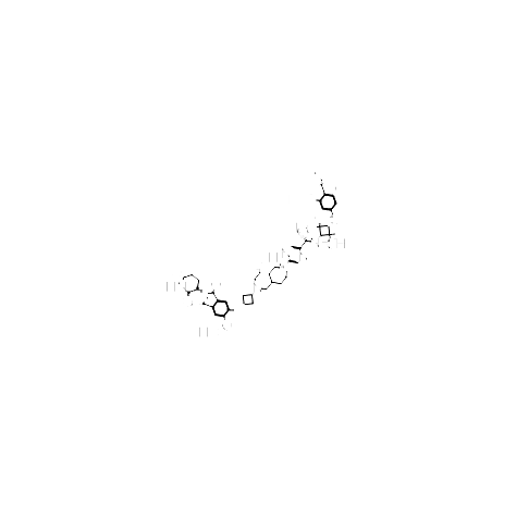 COCCN(CC1CCN(c2cnc(C(=O)NC3C(C)(C)C(Oc4cc(C)c(C#N)c(C)c4)C3(C)C)cn2)CC1)C1CC(Oc2cc3c(cc2OC)C(=O)N([C@@H]2CCC(=O)NC2=O)C3=O)C1